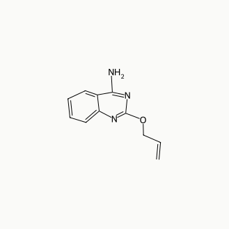 C=CCOc1nc(N)c2ccccc2n1